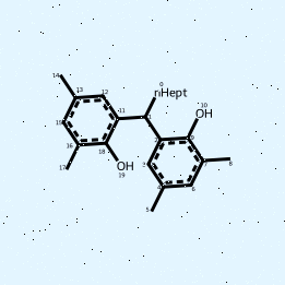 CCCCCCCC(c1cc(C)cc(C)c1O)c1cc(C)cc(C)c1O